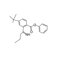 CCCC(=N)c1cc(C(C)(C)C)ccc1C(=O)Oc1ccccc1